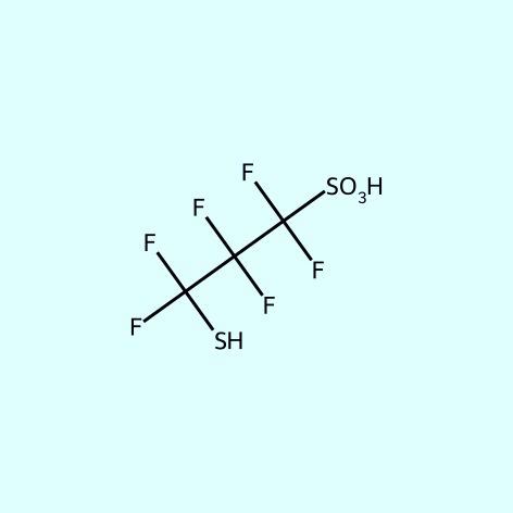 O=S(=O)(O)C(F)(F)C(F)(F)C(F)(F)S